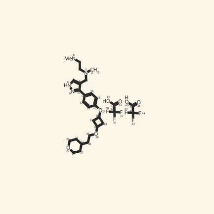 CNCCN(C)Cc1c[nH]nc1-c1ccc(OC2CC(OCCC3CCOCC3)C2)cc1.O=C(O)C(F)(F)F.O=C(O)C(F)(F)F